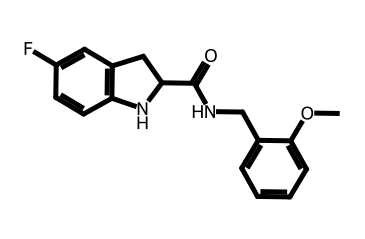 COc1ccccc1CNC(=O)C1Cc2cc(F)ccc2N1